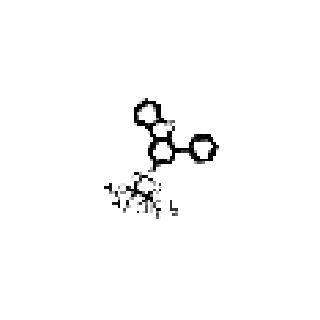 CC1(C)OB(c2cc(-c3ccccc3)c3sc4ccccc4c3c2)OC1(C)C